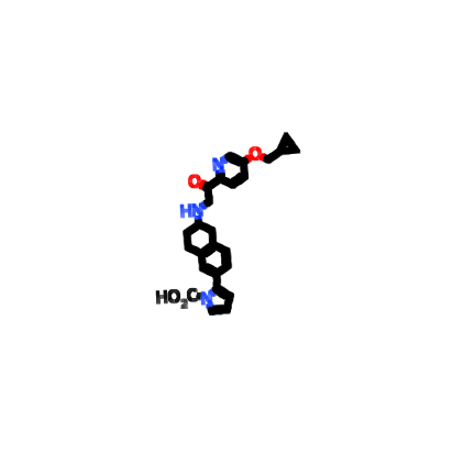 O=C(CNC1CCc2cc(-c3cccn3C(=O)O)ccc2C1)c1ccc(OCC2CC2)cn1